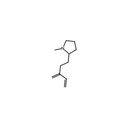 C=CC(=C)CCC1CCCN1C